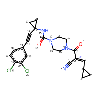 N#C/C(=C\C1CC1)C(=O)N1CCN(C(=O)NC2(C#Cc3ccc(Cl)c(Cl)c3)CC2)CC1